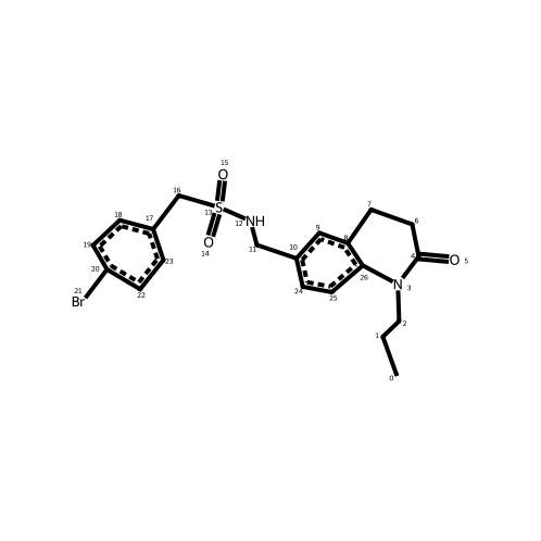 CCCN1C(=O)CCc2cc(CNS(=O)(=O)Cc3ccc(Br)cc3)ccc21